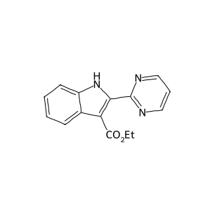 CCOC(=O)c1c(-c2ncccn2)[nH]c2ccccc12